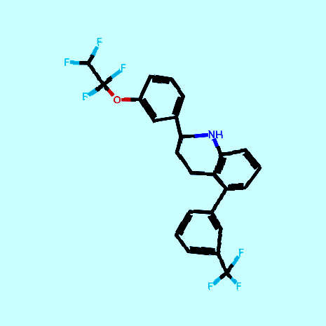 FC(F)C(F)(F)Oc1cccc(C2CCc3c(cccc3-c3cccc(C(F)(F)F)c3)N2)c1